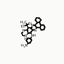 CCC(C)(CC)c1c2c(c(Nc3ccc(N)cc3)c3nc4c5ccccc5c5ccccc5c4nc13)NCC=N2